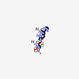 COc1ncc(Cl)c(C(C)C(=O)N2CC[C@@]3(CCc4cc(-c5ncccn5)c(C)nc4N3)C2)n1